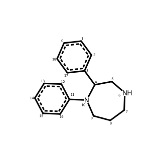 c1ccc(C2CNCCCN2c2ccccc2)cc1